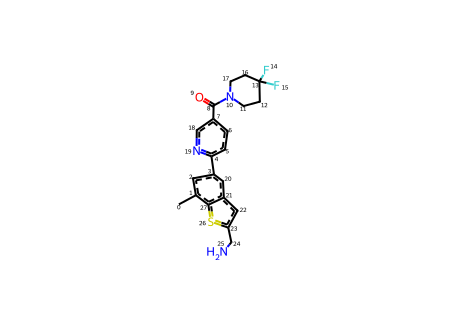 Cc1cc(-c2ccc(C(=O)N3CCC(F)(F)CC3)cn2)cc2cc(CN)sc12